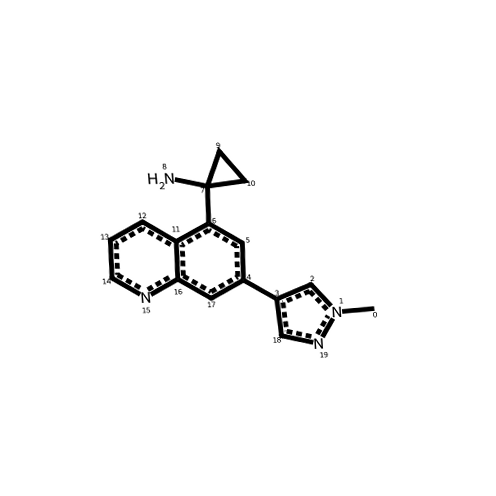 Cn1cc(-c2cc(C3(N)CC3)c3cccnc3c2)cn1